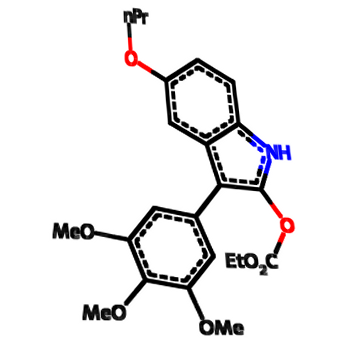 CCCOc1ccc2[nH]c(OC(=O)OCC)c(-c3cc(OC)c(OC)c(OC)c3)c2c1